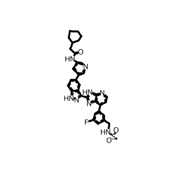 CS(=O)(=O)NCc1cc(F)cc(-c2ccnc3[nH]c(-c4n[nH]c5ccc(-c6cncc(NC(=O)CC7CCCCC7)c6)cc45)nc23)c1